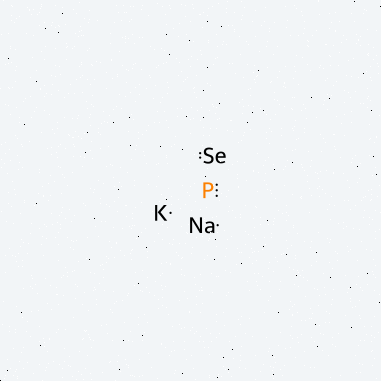 [K].[Na].[P].[Se]